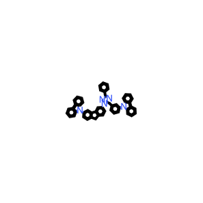 c1ccc(-c2nc(-c3cccc(-n4c5ccccc5c5ccccc54)c3)n(-c3ccc4c(c3)-c3cc(-n5c6ccccc6c6ccccc65)ccc3C4)n2)cc1